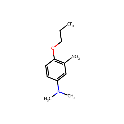 CN(C)c1ccc(OCCC(F)(F)F)c([N+](=O)[O-])c1